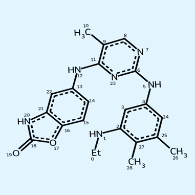 CCNc1cc(Nc2ncc(C)c(Nc3ccc4oc(=O)[nH]c4c3)n2)cc(C)c1C